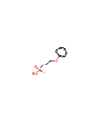 O=S(=O)(O)CCCOc1cc[c]cc1